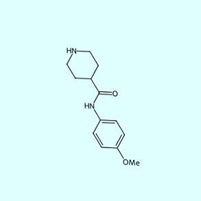 COc1ccc(NC(=O)C2CCNCC2)cc1